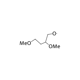 COCCC(C[O])OC